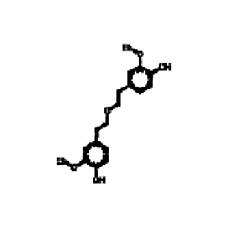 CCOc1cc(CCOCCc2ccc(O)c(OCC)c2)ccc1O